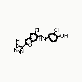 Oc1ccc(NCc2cc3oc(-c4nnn[nH]4)cc3cc2Cl)cc1Cl